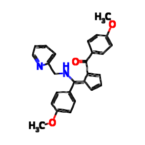 COc1ccc(C(=O)C2=CC=C/C2=C(/NCc2ccccn2)c2ccc(OC)cc2)cc1